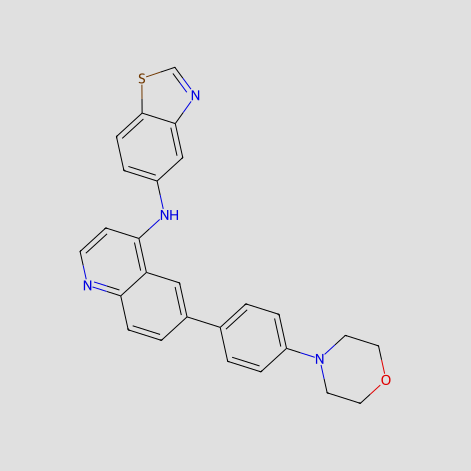 c1cc(Nc2ccc3scnc3c2)c2cc(-c3ccc(N4CCOCC4)cc3)ccc2n1